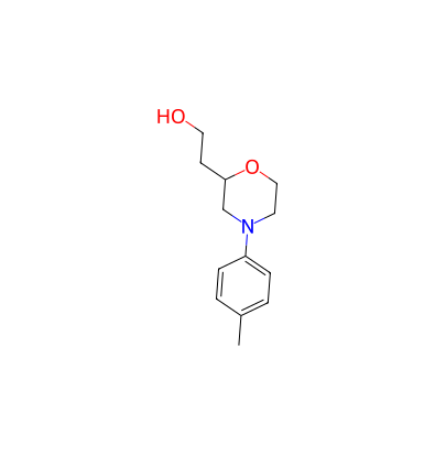 Cc1ccc(N2CCOC(CCO)C2)cc1